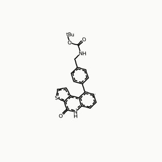 CC(C)(C)OC(=O)NCc1ccc(-c2[c]ccc3[nH]c(=O)c4sccc4c23)cc1